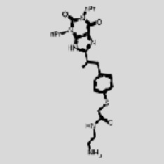 CCCn1c(=O)c2nc(C(C)Cc3ccc(SCC(=O)NCCN)cc3)[nH]c2n(CCC)c1=O